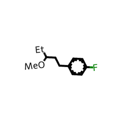 [CH2]CC(CCc1ccc(F)cc1)OC